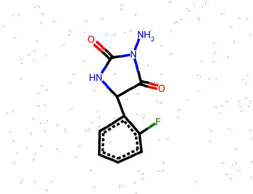 NN1C(=O)NC(c2ccccc2F)C1=O